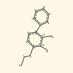 CCCc1ccc(-c2ccccc2)c(C)c1C